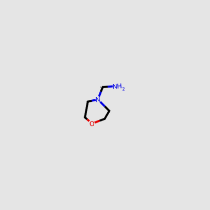 N[CH]N1CCOCC1